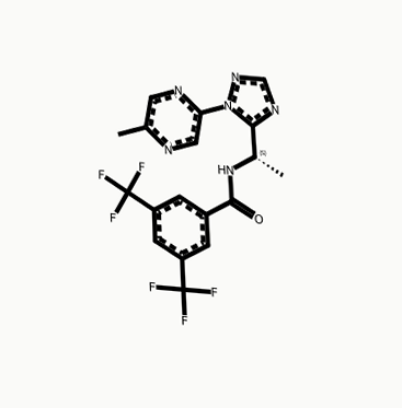 Cc1cnc(-n2ncnc2[C@H](C)NC(=O)c2cc(C(F)(F)F)cc(C(F)(F)F)c2)cn1